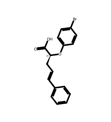 O=C(O)[C@H](CC=Cc1ccccc1)Oc1ccc(Br)cc1